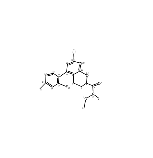 CON(C)C(=O)C1CCc2c(-c3ccc(C)cc3F)cc(Cl)nc2O1